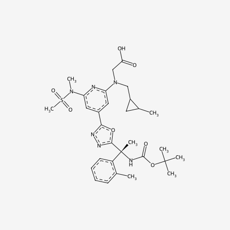 Cc1ccccc1[C@@](C)(NC(=O)OC(C)(C)C)c1nnc(-c2cc(N(CC(=O)O)CC3CC3C)nc(N(C)S(C)(=O)=O)c2)o1